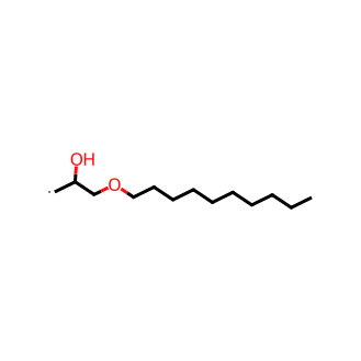 [CH2]C(O)COCCCCCCCCCC